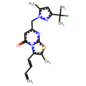 BC(C)(F)c1cc(C)n(Cc2cc(=O)n3c(/C=C/C=C)c(C)sc3n2)n1